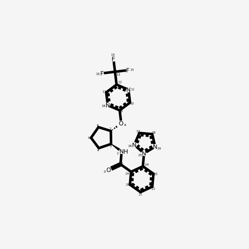 O=C(N[C@H]1CCC[C@@H]1Oc1cnc(C(F)(F)F)cn1)c1ccccc1-n1nccn1